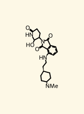 CN[C@H]1CC[C@@H](CCNc2cccc3c2C(=O)N(C2CCC(=O)NC2O)C3=O)CC1